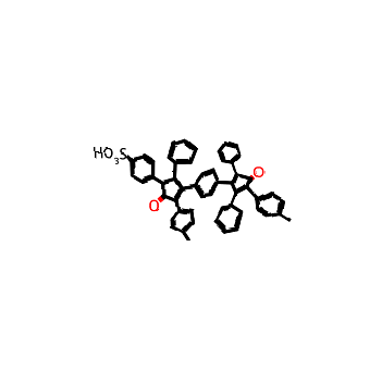 Cc1ccc(C2=C(c3ccccc3)C(c3ccc(C4=C(c5ccc(C)cc5)C(=O)C(c5ccc(S(=O)(=O)O)cc5)C4c4ccccc4)cc3)=C(c3ccccc3)C2=O)cc1